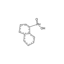 O=[PH](O)c1[c]ccc2ccccc12